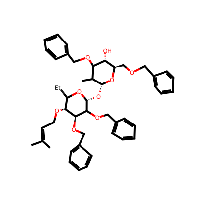 CCC1O[C@H](O[C@H]2O[C@H](COCc3ccccc3)[C@@H](O)C(OCc3ccccc3)C2C)C(OCc2ccccc2)[C@@H](OCc2ccccc2)[C@@H]1OCC=C(C)C